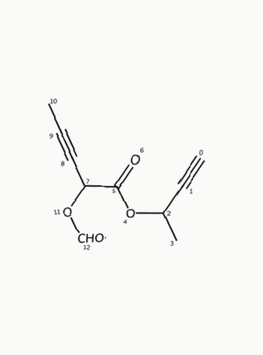 C#CC(C)OC(=O)C(C#CC)O[C]=O